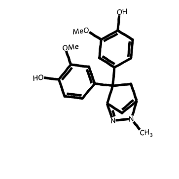 COc1cc(C2(c3ccc(O)c(OC)c3)Cc3cc2nn3C)ccc1O